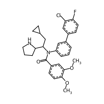 COc1ccc(C(=O)N(c2cccc(-c3ccc(F)c(Cl)c3)c2)C(CC2CC2)C2CCCN2)cc1OC